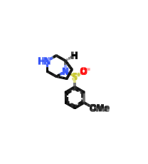 COc1cccc([S+]([O-])N2C3CC[C@@H]2CNC3)c1